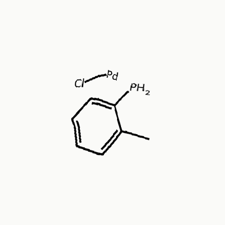 Cc1ccccc1P.[Cl][Pd]